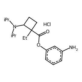 CCC1(C(=O)Oc2cccc(N)c2)CCC1N(C(C)C)C(C)C.Cl